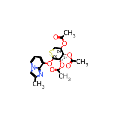 CC(=O)O[C@@H]1[C@@H](OC(C)=O)[C@@H](Oc2cccn3cc(C)nc23)SC[C@H]1OC(C)=O